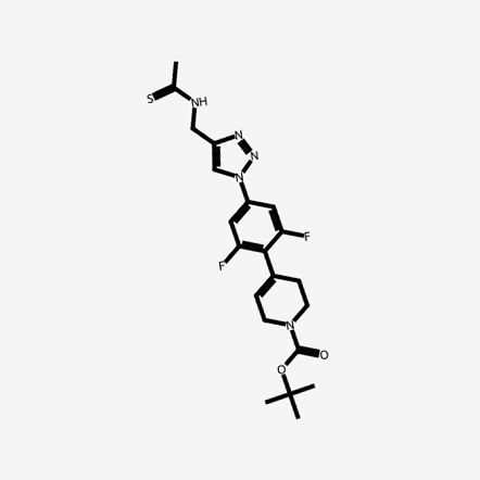 CC(=S)NCc1cn(-c2cc(F)c(C3=CCN(C(=O)OC(C)(C)C)CC3)c(F)c2)nn1